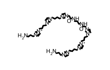 NCCCn1cc[n+](CCCCn2cc[n+](CCCC[n+]3ccn(CC(=O)NCCCNC(=O)Cn4cc[n+](CCCC[n+]5ccn(CCCC[n+]6ccn(CCCN)c6)c5)c4)c3)c2)c1